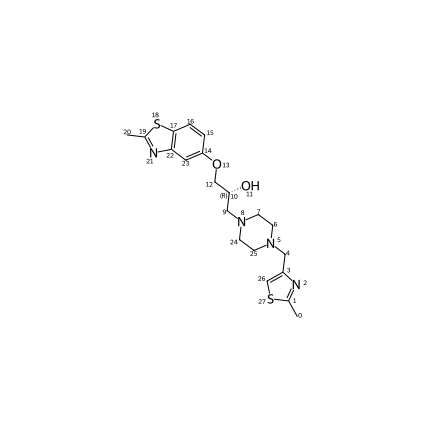 Cc1nc(CN2CCN(C[C@@H](O)COc3ccc4sc(C)nc4c3)CC2)cs1